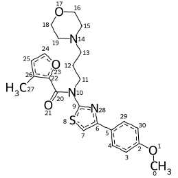 COc1ccc(-c2csc(N(CCCN3CCOCC3)C(=O)c3occc3C)n2)cc1